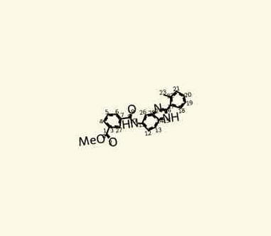 COC(=O)c1cccc(C(=O)Nc2ccc3[nH]c(-c4ccccc4C)nc3c2)c1